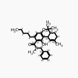 CCCCCc1cc2c(c(O)c1C(=O)N(C)Cc1ccccc1)C1C=C(C)CCC1C(C)(C)O2